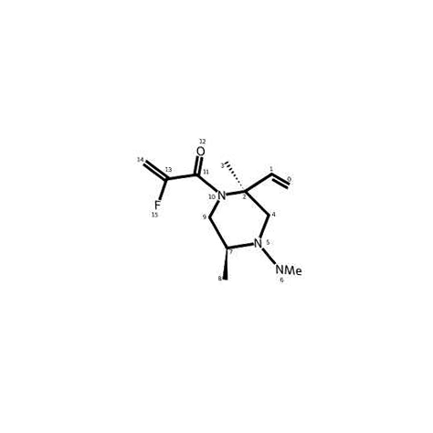 C=C[C@@]1(C)CN(NC)[C@@H](C)CN1C(=O)C(=C)F